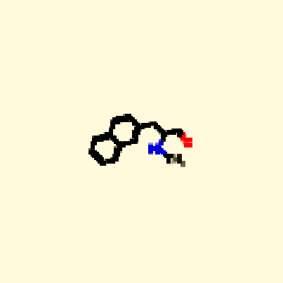 CNC(C=O)Cc1ccc2ccccc2c1